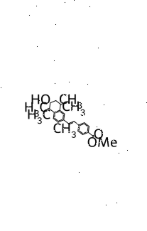 COC(=O)c1ccc(/C=C/c2cc3c(cc2C)C(C)(C)C(O)CC3(C)C)cc1